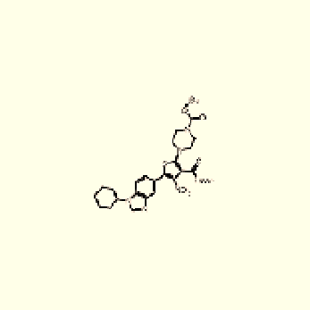 COC(=O)c1c(N2CCN(C(=O)OC(C)(C)C)CC2)sc(-c2ccc3c(c2)ncn3C2CCCCC2)c1[N+](=O)[O-]